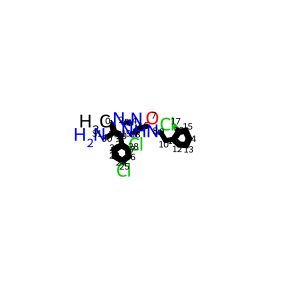 Cc1nc2nc(C(=O)NCCc3ccccc3Cl)cn2c(-c2ccc(Cl)cc2Cl)c1CN